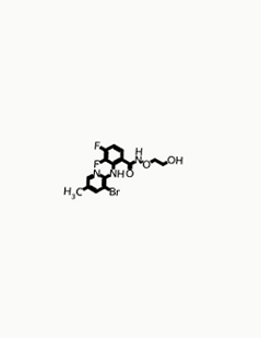 Cc1cnc(Nc2c(C(=O)NOCCO)ccc(F)c2F)c(Br)c1